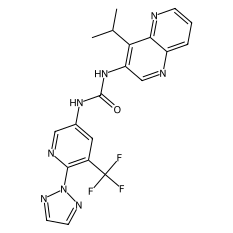 CC(C)c1c(NC(=O)Nc2cnc(-n3nccn3)c(C(F)(F)F)c2)cnc2cccnc12